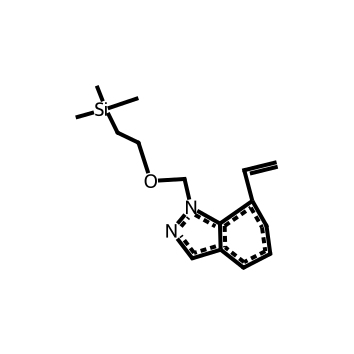 C=Cc1cccc2cnn(COCC[Si](C)(C)C)c12